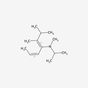 C/C=C\C(=C(/C)C(C)C)N(C)C(C)C